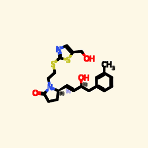 Cc1cccc(C[C@H](O)/C=C/[C@H]2CCC(=O)N2CCSc2ncc(CO)s2)c1